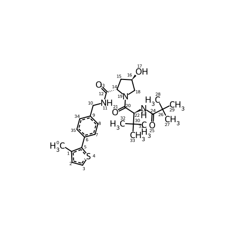 Cc1ccsc1-c1ccc(CNC(=O)[C@@H]2C[C@@H](O)CN2C(=O)[C@@H](NC(=O)C(C)(C)C)C(C)(C)C)cc1